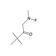 CN(F)CC(=O)C(C)(C)C